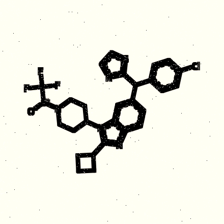 [O-][S+](N1CCC(n2c(C3CCC3)nc3ccc(C(c4ccc(Cl)cc4)c4nccs4)cc32)CC1)C(F)(F)F